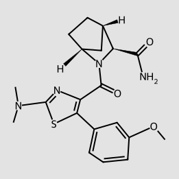 COc1cccc(-c2sc(N(C)C)nc2C(=O)N2[C@@H]3CC[C@@H](C3)[C@H]2C(N)=O)c1